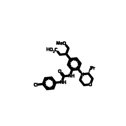 COCC(CC(=O)O)c1ccc(N2CCOC[C@H]2C(C)C)c(NC(=O)Nc2ccc(Cl)cc2)c1